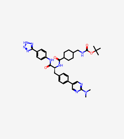 CN(C)c1ncc(-c2ccc(C[C@H](NC(=O)C3CCC(CNC(=O)OC(C)(C)C)CC3)C(=O)Nc3ccc(-c4nn[nH]n4)cc3)cc2)cn1